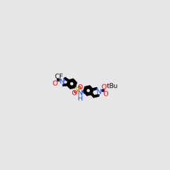 CC(C)(C)OC(=O)N1CCc2cc(NS(=O)(=O)c3ccc4c(c3)CN(C(=O)C(F)(F)F)C4)ccc2C1